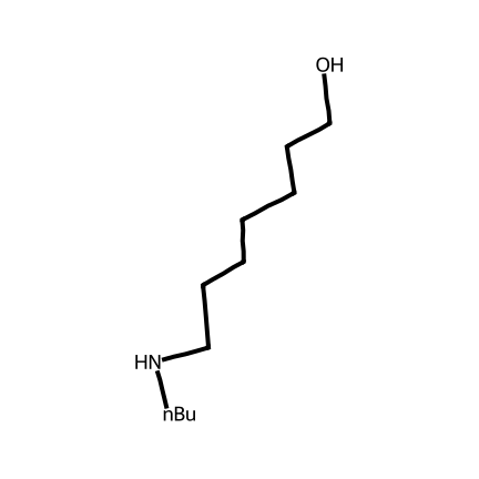 CCCCNCCCCCCCO